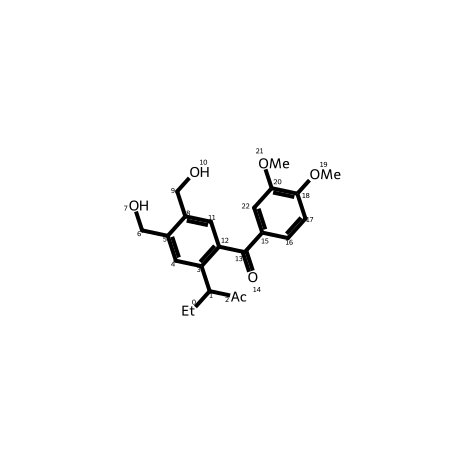 CCC(C(C)=O)c1cc(CO)c(CO)cc1C(=O)c1ccc(OC)c(OC)c1